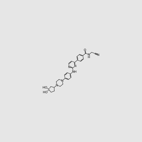 N#CCNC(=O)c1ccc(-c2ccnc(Nc3ccc(N4CCN(C5CCS(O)(O)C5)CC4)cc3)n2)cc1